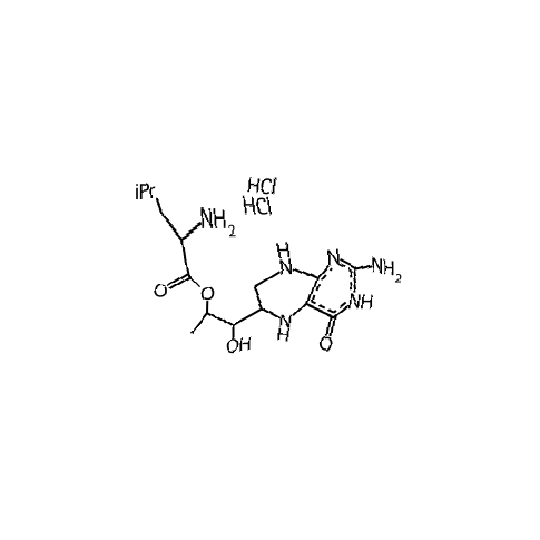 CC(C)CC(N)C(=O)OC(C)C(O)C1CNc2nc(N)[nH]c(=O)c2N1.Cl.Cl